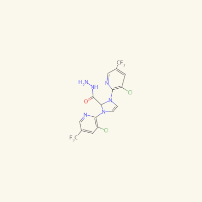 NNC(=O)C1N(c2ncc(C(F)(F)F)cc2Cl)C=CN1c1ncc(C(F)(F)F)cc1Cl